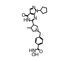 CC1CN(Cc2ccc(C(=O)NO)cc2)CC1c1nc2c(cnn2C2CCCC2)c(=O)[nH]1